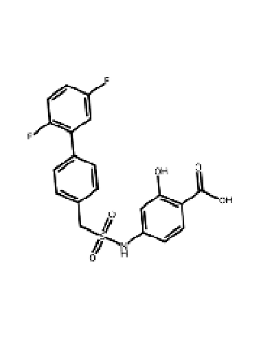 O=C(O)c1ccc(NS(=O)(=O)Cc2ccc(-c3cc(F)ccc3F)cc2)cc1O